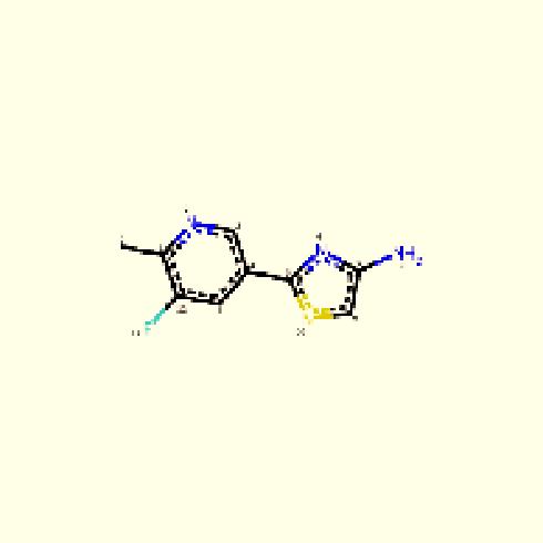 Cc1ncc(-c2nc(N)cs2)cc1F